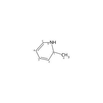 C[C]1C=[C]C=CN1